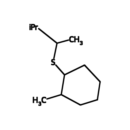 CC(C)C(C)SC1CCCCC1C